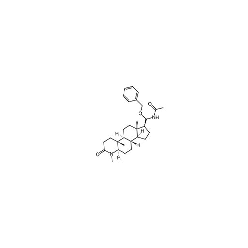 CC(=O)NC(OCc1ccccc1)[C@H]1CC[C@H]2[C@@H]3CC[C@H]4N(C)C(=O)CC[C@]4(C)[C@H]3CC[C@]12C